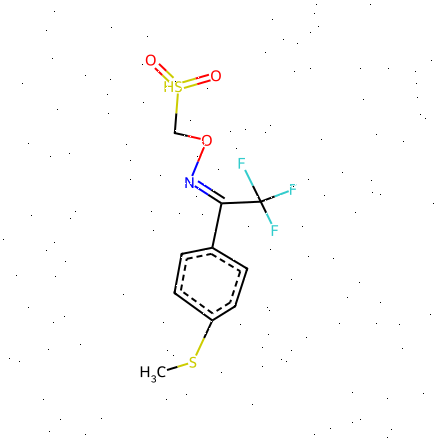 CSc1ccc(C(=NOC[SH](=O)=O)C(F)(F)F)cc1